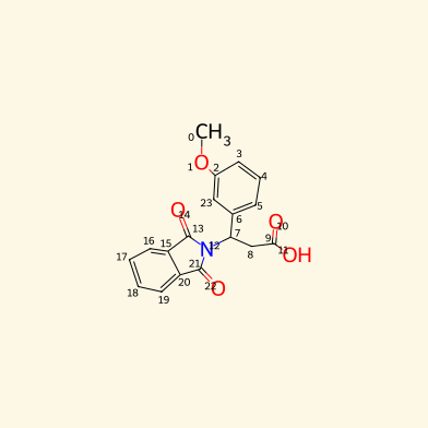 COc1cccc(C(CC(=O)O)N2C(=O)c3ccccc3C2=O)c1